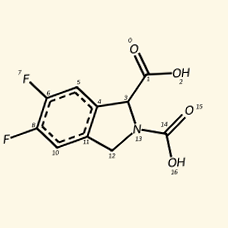 O=C(O)C1c2cc(F)c(F)cc2CN1C(=O)O